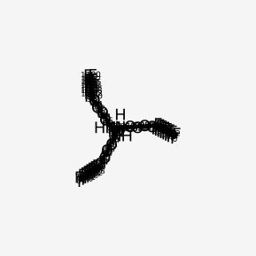 FC(F)C(F)(F)C(F)(F)C(F)(F)C(F)(F)C(F)(F)C(F)(F)C(F)(F)COCCOCCOCCOCCCNc1nc(NCCCOCCOCCOCCOCC(F)(F)C(F)(F)C(F)(F)C(F)(F)C(F)(F)C(F)(F)C(F)(F)C(F)F)nc(NCCCOCCOCCOCCOCC(F)(F)C(F)(F)C(F)(F)C(F)(F)C(F)(F)C(F)(F)C(F)(F)C(F)F)n1